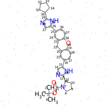 CC(C)(C)OC(=O)N1CCC[C@@H]1c1ncc(-c2ccc3c(c2)Cc2cc(-c4cnc(C5CCCC5)[nH]4)ccc2O3)[nH]1